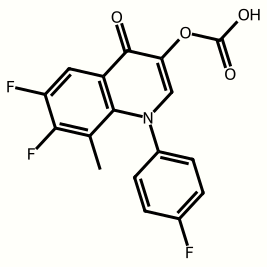 Cc1c(F)c(F)cc2c(=O)c(OC(=O)O)cn(-c3ccc(F)cc3)c12